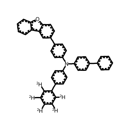 [2H]c1c([2H])c([2H])c(-c2ccc(N(c3ccc(-c4ccccc4)cc3)c3ccc(-c4ccc5oc6ccccc6c5c4)cc3)cc2)c([2H])c1[2H]